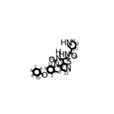 Cc1cc(Oc2ccccc2)ccc1N1C(=O)NC2c3c1ccnc3SC2NC(=O)C1CCCNC1